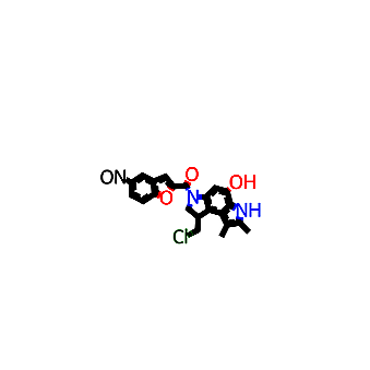 Cc1[nH]c2c(O)cc3c(c2c1C)C(CCl)CN3C(=O)c1cc2cc(N=O)ccc2o1